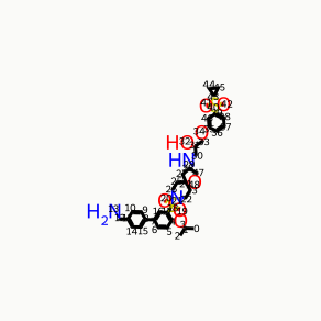 CC(C)Oc1ccc(-c2ccc(CN)cc2)cc1S(=O)(=O)N1CCC2(CC1)C[C@H](NCC(O)COc1cccc(S(=O)(=O)C3CC3)c1)CO2